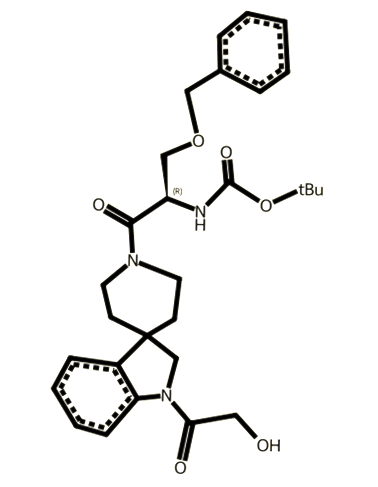 CC(C)(C)OC(=O)N[C@H](COCc1ccccc1)C(=O)N1CCC2(CC1)CN(C(=O)CO)c1ccccc12